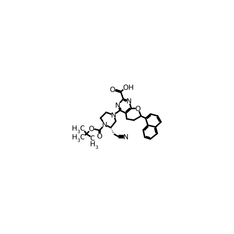 CC(C)(C)OC(=O)N1CCN(c2nc(C(=O)O)nc3c2CCC(c2cccc4ccccc24)O3)C[C@@H]1CC#N